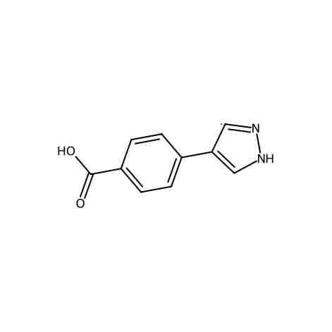 O=C(O)c1ccc(-c2[c]n[nH]c2)cc1